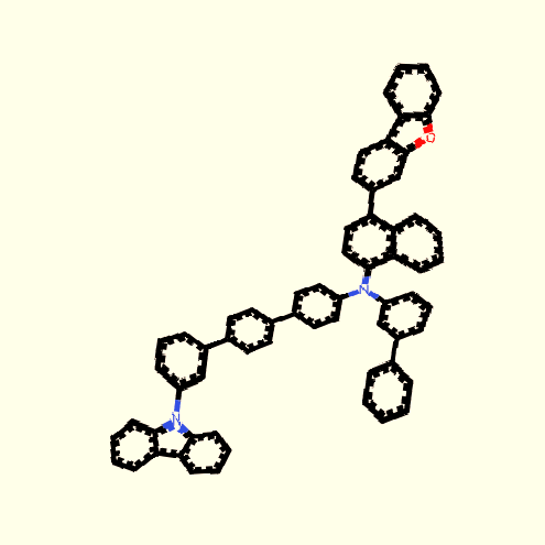 c1ccc(-c2cccc(N(c3ccc(-c4ccc(-c5cccc(-n6c7ccccc7c7ccccc76)c5)cc4)cc3)c3ccc(-c4ccc5c(c4)oc4ccccc45)c4ccccc34)c2)cc1